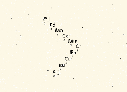 [Ag].[Cd].[Co].[Cr].[Cu].[Fe].[Mn].[Mo].[Pd].[Ru]